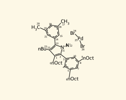 CCCCCCCCC1=C(c2cc(CCCCCCCC)cc(CCCCCCCC)c2)[N+](=[N-])C(c2cc(C)cc(C)c2)=C1CCCC.[Br][Pd][Br]